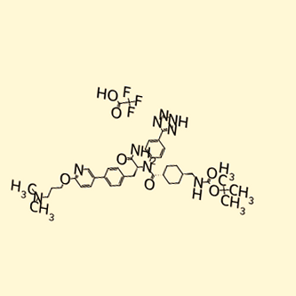 CN(C)CCCOc1ccc(-c2ccc(C[C@@H](C(N)=O)N(c3ccc(-c4nn[nH]n4)cc3)C(=O)[C@H]3CC[C@H](CNC(=O)OC(C)(C)C)CC3)cc2)cn1.O=C(O)C(F)(F)F